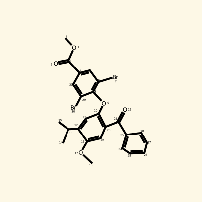 COC(=O)c1cc(Br)c(Oc2cc(C(C)C)c(OC)cc2C(=O)c2ccccc2)c(Br)c1